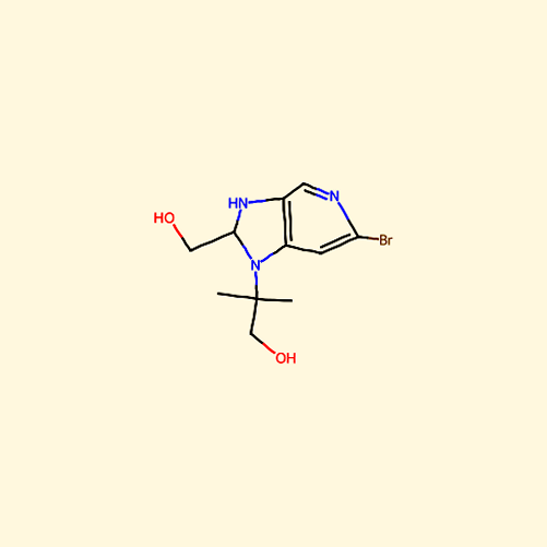 CC(C)(CO)N1c2cc(Br)ncc2NC1CO